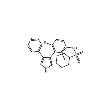 C=S(=O)(Nc1ccc(F)c(-c2n[nH]cc2-c2ccncc2)c1F)C1CCCCC1